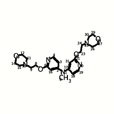 CN(c1ccnc(OCCN2CCOCC2)c1)c1ccnc(OCCN2CCOCC2)c1